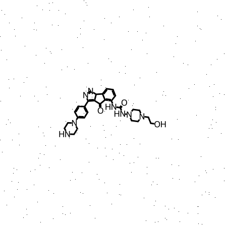 O=C(Nc1cccc2c1C(=O)C1=C(c3ccc(N4CCNCC4)cc3)N=NC12)NN1CCN(CCO)CC1